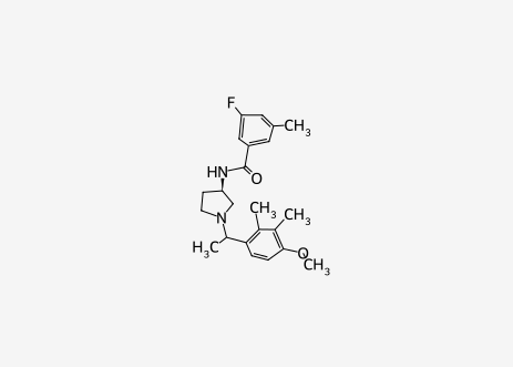 COc1ccc(C(C)N2CC[C@@H](NC(=O)c3cc(C)cc(F)c3)C2)c(C)c1C